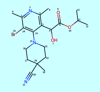 Cc1nc(C)c(C(O)C(=O)OC(C)C)c(N2CCC(C)(C#N)CC2)c1Br